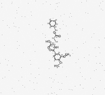 COc1ccc(C(=O)N[C@@H](CCC(=O)OCc2ccccc2)C(=O)O)cc1OC